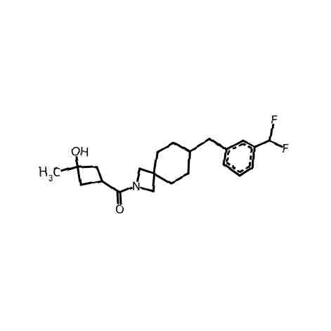 CC1(O)CC(C(=O)N2CC3(CCC(Cc4cccc(C(F)F)c4)CC3)C2)C1